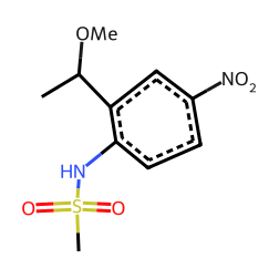 COC(C)c1cc([N+](=O)[O-])ccc1NS(C)(=O)=O